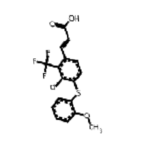 COc1ccccc1Sc1ccc(C=CC(=O)O)c(C(F)(F)F)c1Cl